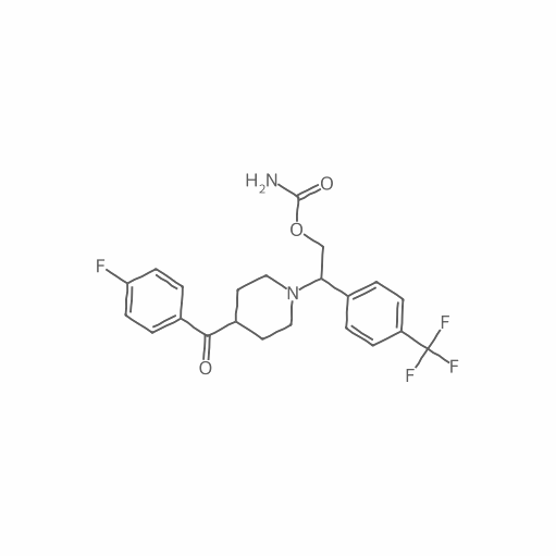 NC(=O)OCC(c1ccc(C(F)(F)F)cc1)N1CCC(C(=O)c2ccc(F)cc2)CC1